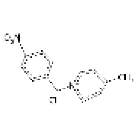 Cc1cc[n+](Cc2ccc([N+](=O)[O-])cc2)cc1.[Cl-]